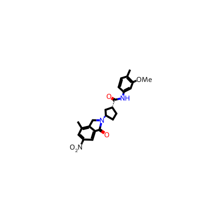 COc1cc(NC(=O)[C@@H]2CC[C@@H](N3Cc4c(C)cc([N+](=O)[O-])cc4C3=O)C2)ccc1C